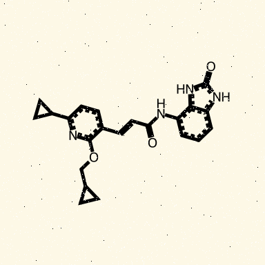 O=C(/C=C/c1ccc(C2CC2)nc1OCC1CC1)Nc1cccc2[nH]c(=O)[nH]c12